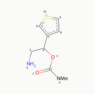 CNC(=O)OC(CN)c1ccsc1